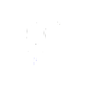 N#CC1=CC2(CCC1)CNC2